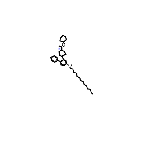 CCCCCCCCCCCCCCOc1ccc(-c2ccccc2)c(C2=CC/C(=C(/C)OC3CCCCC3)C=C2)c1